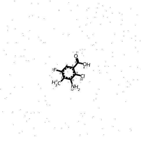 Cc1c(F)cc(C(=O)O)c(Cl)c1N